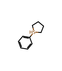 c1ccc([SH]2CCCC2)cc1